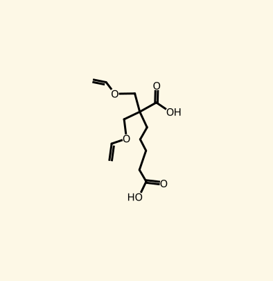 C=COCC(CCCCC(=O)O)(COC=C)C(=O)O